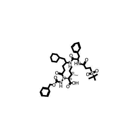 CC[C@H](C)[C@@H](C(=O)O)N(NC(=O)OCc1ccccc1)C(=O)CCC(CC1CCCCC1)NC(=O)C(Cc1ccccc1)NC(=O)CCS(=O)(=O)C(C)(C)C